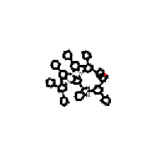 c1ccc(-c2cc(-c3ccccc3)cc(-c3nc(-c4cc5c6c(c4)-n4c7cc(-c8ccccc8)cc(-c8ccccc8)c7c7cc(-c8ccccc8)cc(c74)B6c4cc(-c6ccccc6)cc6c7c(-c8ccccc8)cc(-c8ccccc8)cc7n-5c46)c4ccccc4n3)c2)cc1